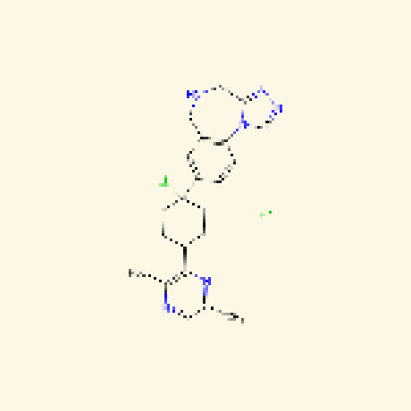 Cc1cnc(C)c(C2CCC(Cl)(c3ccc4c(c3)CNCc3nncn3-4)CC2)n1.Cl